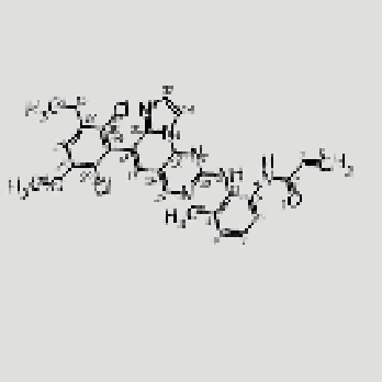 C=CC(=O)Nc1cccc(C)c1Nc1ncc2cc(-c3c(Cl)c(CC)cc(OC)c3Cl)c3nccn3c2n1